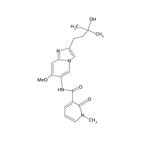 COc1cc2nc(CCC(C)(C)O)cn2cc1NC(=O)c1cccn(C)c1=O